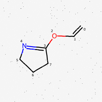 C=COC1=NCCC1